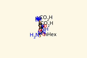 CCCCCCON=C(C(=O)NC1C(=O)N2C(C(=O)O)=C(CSc3nnnn3CC(=O)O)CS[C@@H]12)c1csc(N)n1